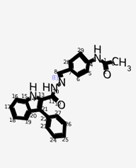 CC(=O)Nc1ccc(/C=N/NC(=O)c2[nH]c3ccccc3c2-c2ccccc2)cc1